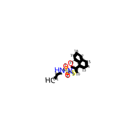 C#CCCNS(=O)(=O)n1scc(-c2cccc3ccccc23)c1=O